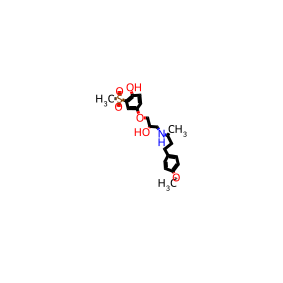 COc1ccc(CCC(C)NCC(O)COc2ccc(O)c(S(C)(=O)=O)c2)cc1